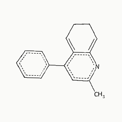 Cc1cc(-c2ccccc2)c2c(n1)=CCCC=2